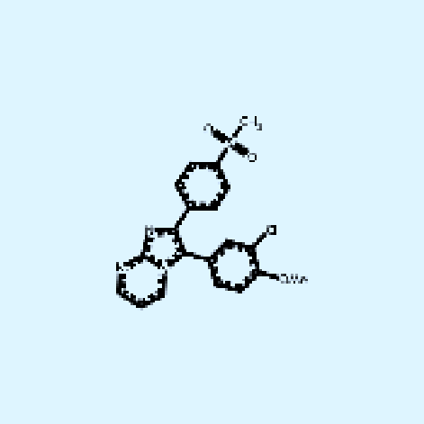 COc1ccc(-c2c(-c3ccc(S(C)(=O)=O)cc3)nc3ncccn23)cc1Cl